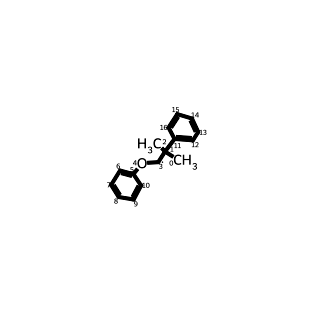 CC(C)([CH]Oc1ccccc1)c1ccccc1